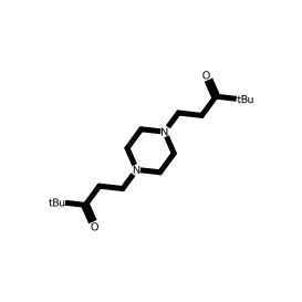 CC(C)(C)C(=O)CCN1CCN(CCC(=O)C(C)(C)C)CC1